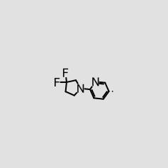 FC1(F)CCN(c2cc[c]cn2)C1